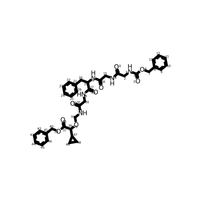 O=C(CNC(=O)OCc1ccccc1)NCC(=O)NC(Cc1ccccc1)C(=O)NCC(=O)NCOC(C(=O)OCc1ccccc1)C1CC1